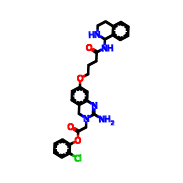 NC1=Nc2cc(OCCCC(=O)NC3NCCc4ccccc43)ccc2CN1CC(=O)Oc1ccccc1Cl